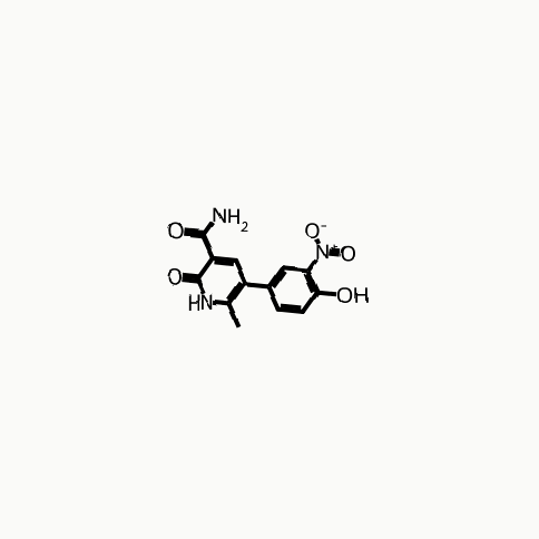 Cc1[nH]c(=O)c(C(N)=O)cc1-c1ccc(O)c([N+](=O)[O-])c1